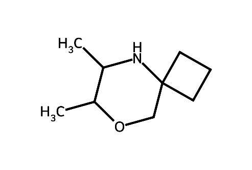 CC1NC2(CCC2)COC1C